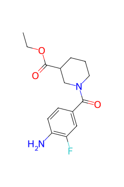 CCOC(=O)C1CCCN(C(=O)c2ccc(N)c(F)c2)C1